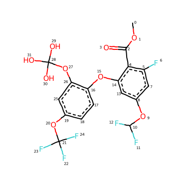 COC(=O)c1c(F)cc(OC(F)F)cc1Oc1ccc(OC(F)(F)F)cc1OC(O)(O)O